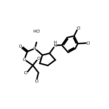 CN(C(=O)OC(Cl)(Cl)CCl)C1CCCC1Nc1ccc(Cl)c(Cl)c1.Cl